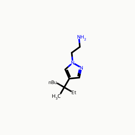 CCCCC(C)(CC)c1cnn(CCN)c1